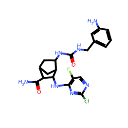 NC(=O)C1C2CC(NC(=O)NCc3cccc(N)c3)C(C2)C1Nc1nc(Cl)ncc1F